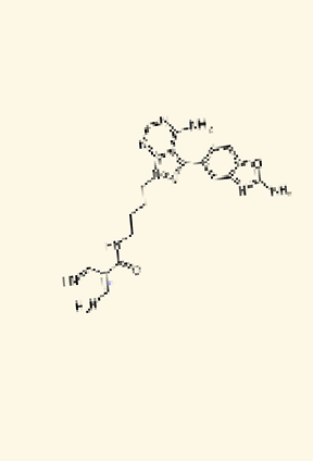 N=C/C(=C\N)C(=O)NCCCCn1nc(-c2ccc3oc(N)nc3c2)c2c(N)ncnc21